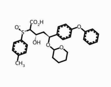 Cc1ccc([S@@+]([O-])C(C(=O)O)[C@@H](O)C[C@H](OC2CCCCO2)c2ccc(Oc3ccccc3)cc2)cc1